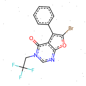 O=c1c2c(-c3ccccc3)c(Br)oc2ncn1CC(F)(F)F